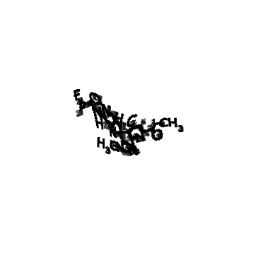 CCC(=O)c1cc(C)c(-c2cc3cnc(NC(=O)[C@H]4C[C@H]4F)cc3nc2-c2nncn2C)cn1